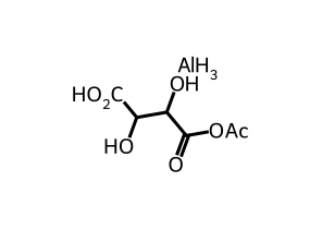 CC(=O)OC(=O)C(O)C(O)C(=O)O.[AlH3]